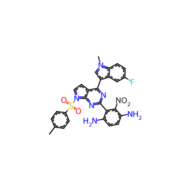 Cc1ccc(S(=O)(=O)n2ccc3c(-c4cn(C)c5ccc(F)cc45)nc(-c4c(N)ccc(N)c4[N+](=O)[O-])nc32)cc1